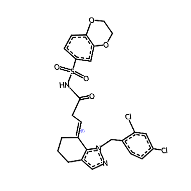 O=C(C/C=C1\CCCc2cnn(Cc3ccc(Cl)cc3Cl)c21)NS(=O)(=O)c1ccc2c(c1)OCCO2